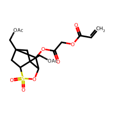 C=CC(=O)OCC(=O)OC1C2OS(=O)(=O)C3CC1(COC(C)=O)CC23COC(C)=O